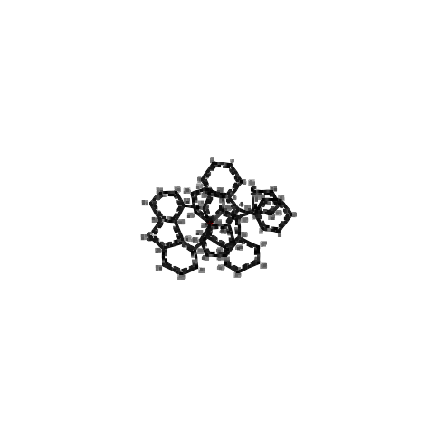 c1ccc(-c2c3ccccc3c(-c3cccc4sc5cccc(-c6c7ccccc7c(-c7cccs7)c7ccccc67)c5c34)c3ccccc23)cc1